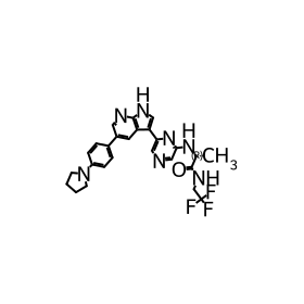 C[C@@H](Nc1cncc(-c2c[nH]c3ncc(-c4ccc(N5CCCC5)cc4)cc23)n1)C(=O)NCC(F)(F)F